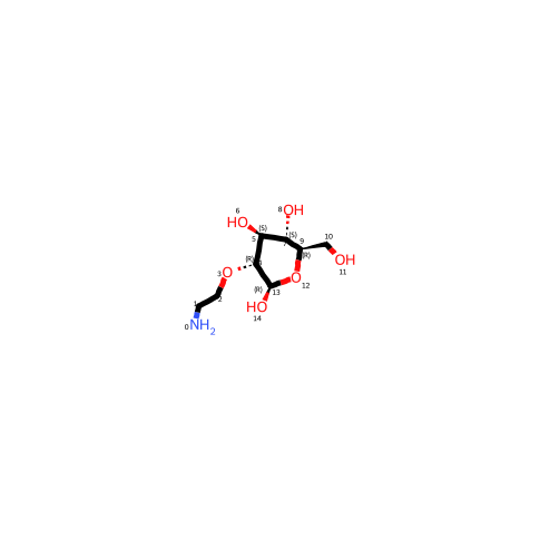 NCCO[C@@H]1[C@@H](O)[C@H](O)[C@@H](CO)O[C@H]1O